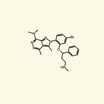 CNCCC(Oc1cc(Br)ccc1-n1nc2c(N(C)C)nnc(C)c2c1C)c1ccccc1